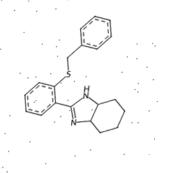 c1ccc(CSc2ccccc2C2=NC3CCCCC3N2)cc1